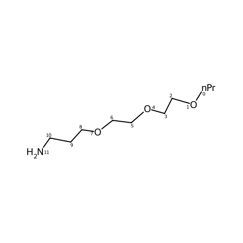 [CH2]CCOCCOCCOCCCN